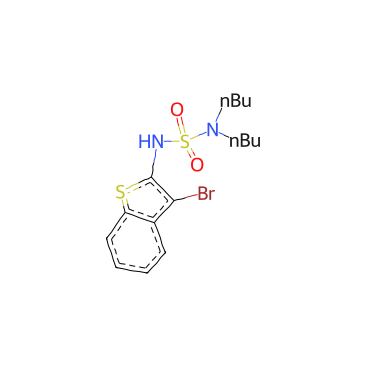 CCCCN(CCCC)S(=O)(=O)Nc1sc2ccccc2c1Br